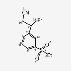 CCS(=O)(=O)c1cncc(C(CC#N)C(C)C)c1